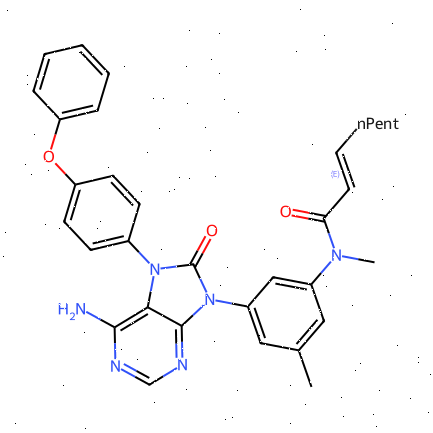 CCCCC/C=C/C(=O)N(C)c1cc(C)cc(-n2c(=O)n(-c3ccc(Oc4ccccc4)cc3)c3c(N)ncnc32)c1